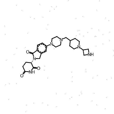 O=C1CC[C@H](N2Cc3cc(N4CCN(CC5CCN(C6CNC6)CC5)CC4)ccc3C2=O)C(=O)N1